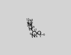 CCOc1cncc(C=CC2CC3CCC2N3)c1